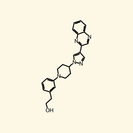 OCCc1cccc(N2CCC(n3cc(-c4cnc5ccccc5n4)cn3)CC2)c1